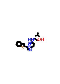 CC(C)C[C@H](CO)Nc1ccc2ncc(-c3cc4ccccc4s3)n2n1